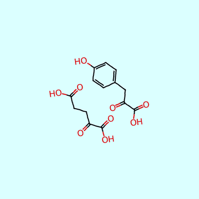 O=C(O)C(=O)Cc1ccc(O)cc1.O=C(O)CCC(=O)C(=O)O